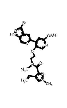 C=Cc1cn(C)nc1C(=O)N(C)CCOc1cnc(OC)cc1-c1cc2c(Br)n[nH]c2cn1